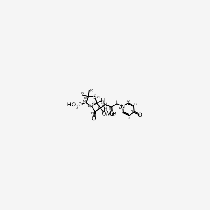 CO[C@@]1(NC(=O)Cn2ccc(=O)cc2)C(=O)N2[C@@H](C(=O)O)C(C)(C)S[C@@H]21